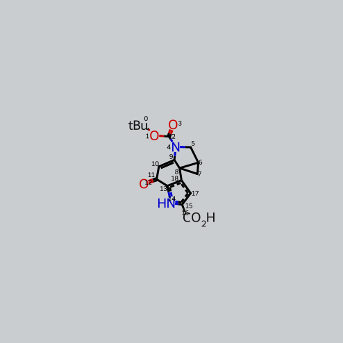 CC(C)(C)OC(=O)N1CC2CC23C1=CC(=O)c1[nH]c(C(=O)O)cc13